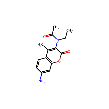 [CH2]CN(C(C)=O)c1c(C)c2ccc(N)cc2oc1=O